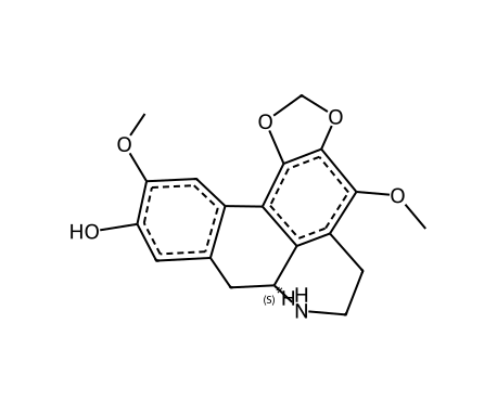 COc1cc2c(cc1O)C[C@@H]1NCCc3c(OC)c4c(c-2c31)OCO4